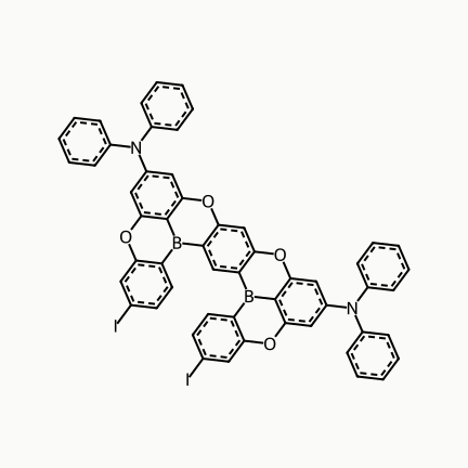 Ic1ccc2c(c1)Oc1cc(N(c3ccccc3)c3ccccc3)cc3c1B2c1cc2c(cc1O3)Oc1cc(N(c3ccccc3)c3ccccc3)cc3c1B2c1ccc(I)cc1O3